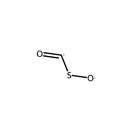 [O]S[C]=O